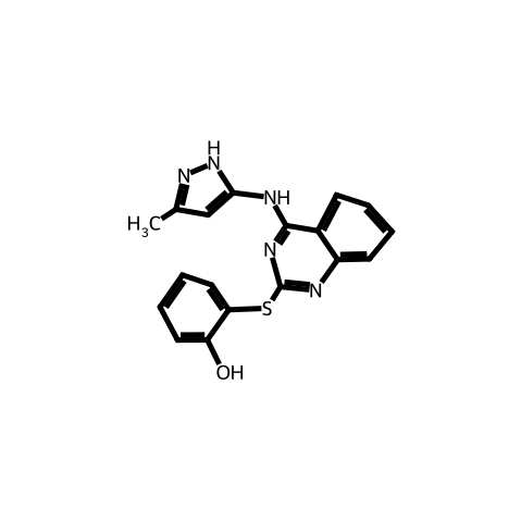 Cc1cc(Nc2nc(Sc3ccccc3O)nc3ccccc23)[nH]n1